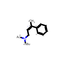 CCCCN(C/C=C(/C)c1ccccc1)C(C)=O